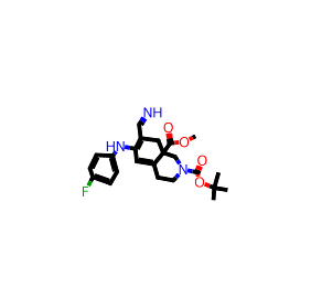 COC(=O)C12CC(C=N)=C(Nc3ccc(F)cc3)C=C1CCN(C(=O)OC(C)(C)C)C2